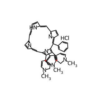 CN1C=CC(c2c(C3=CCN(C)C=C3)c3c(-c4ccccc4)c4nc(cc5ccc(cc6nc(cc2n3C2=CCN(C)C=C2)C=C6)[nH]5)C=C4)=CC1.Cl